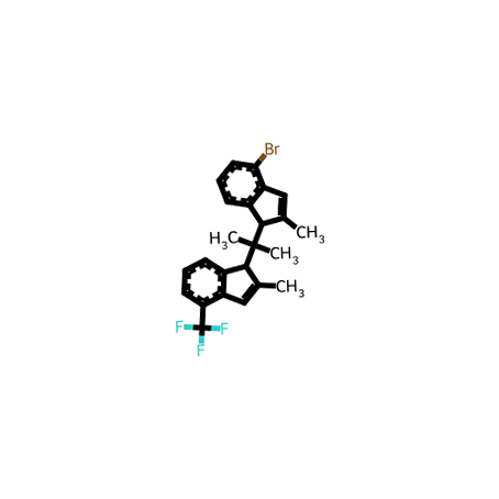 CC1=Cc2c(Br)cccc2C1C(C)(C)C1C(C)=Cc2c1cccc2C(F)(F)F